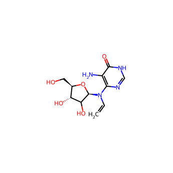 C=CN(c1nc[nH]c(=O)c1N)[C@@H]1O[C@H](CO)[C@@H](O)C1O